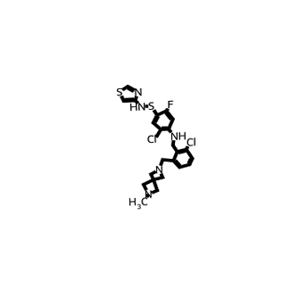 CN1CC2(C1)CN(Cc1cccc(Cl)c1CNc1cc(F)c(SNc3cscn3)cc1Cl)C2